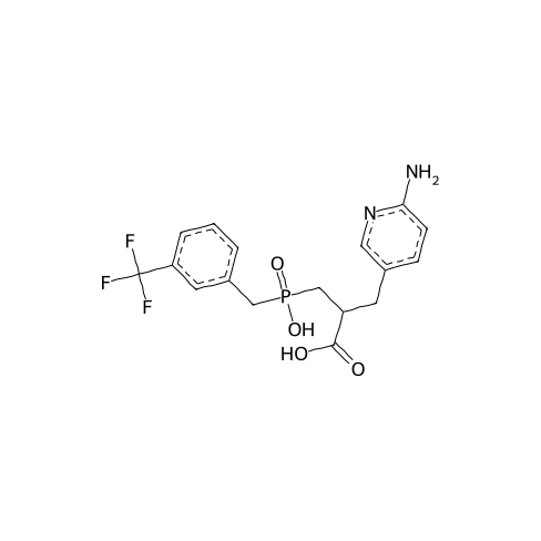 Nc1ccc(CC(CP(=O)(O)Cc2cccc(C(F)(F)F)c2)C(=O)O)cn1